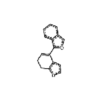 C1=C(c2occ3ccccc23)c2ccoc2CC1